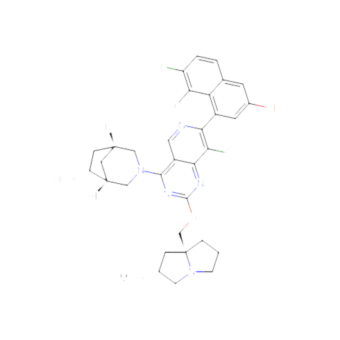 CCc1c(F)ccc2cc(O)cc(-c3ncc4c(N5C[C@@H]6C[C@H](C5)[C@H](O)C6)nc(OC[C@@]56CCCN5C[C@H](OC)C6)nc4c3F)c12